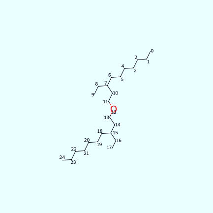 CCCCCCCC(CC)CCOCCC(CC)CCCCCCC